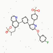 CC(Cc1cc(-c2cccc(-c3ccc(OCc4ccc(F)cc4)nc3-c3ccc(S(C)(=O)=O)cc3)c2)c2ncccc2c1)S(C)(=O)=O